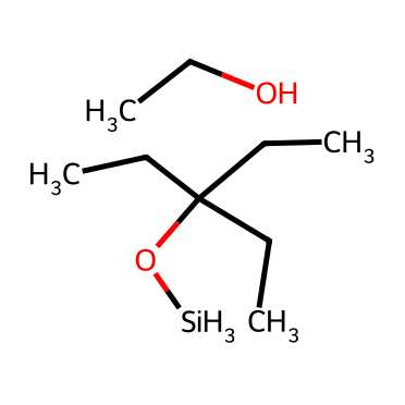 CCC(CC)(CC)O[SiH3].CCO